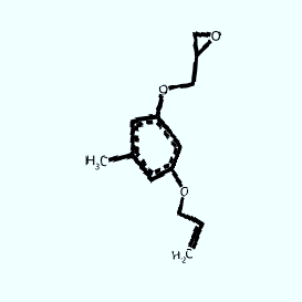 C=CCOc1cc(C)cc(OCC2CO2)c1